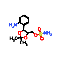 CC1(C)OC(COS(N)(=O)=O)C(c2ccccc2N)O1